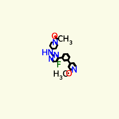 COc1cc(-c2cccc(-c3nc(NC4CCN(C(C)=O)CC4)ncc3F)c2)ccn1